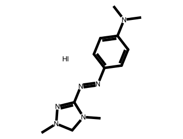 CN1CN(C)C(N=Nc2ccc(N(C)C)cc2)=N1.I